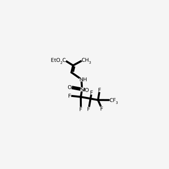 CCOC(=O)C(C)=CNS(=O)(=O)C(F)(F)C(F)(F)C(F)(F)C(F)(F)F